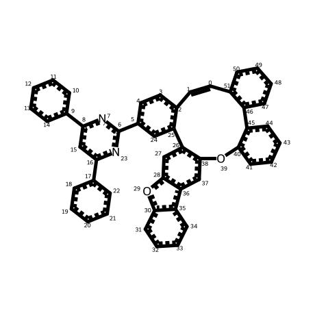 C1=C\c2ccc(-c3nc(-c4ccccc4)cc(-c4ccccc4)n3)cc2-c2cc3oc4ccccc4c3cc2Oc2ccccc2-c2ccccc2/1